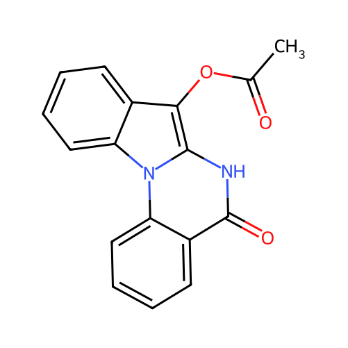 CC(=O)Oc1c2ccccc2n2c1[nH]c(=O)c1ccccc12